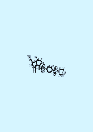 Cc1ccc(NS(=O)(=O)c2ccc(S(=O)(=O)N3CCOCC3)cc2)c2[nH]cc(C#N)c12